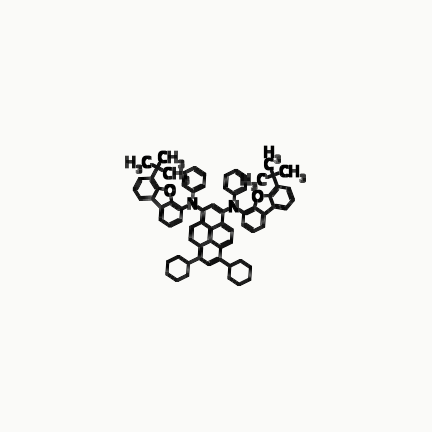 CC(C)(C)c1cccc2c1oc1c(N(c3ccccc3)c3cc(N(c4ccccc4)c4cccc5c4oc4c(C(C)(C)C)cccc45)c4ccc5c(C6CCCCC6)cc(C6CCCCC6)c6ccc3c4c65)cccc12